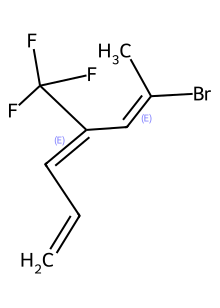 C=C/C=C(\C=C(/C)Br)C(F)(F)F